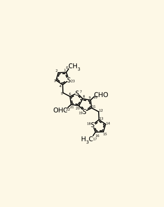 Cc1ccc(Cc2sc3c(C=O)c(Cc4ccc(C)s4)sc3c2C=O)s1